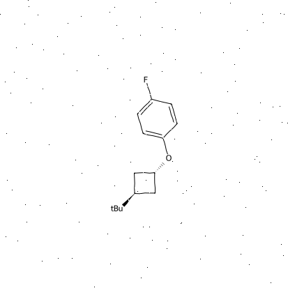 CC(C)(C)[C@H]1C[C@H](Oc2ccc(F)cc2)C1